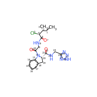 CC[C@@H](C)[C@H](Cl)C(=O)NCC(=O)N1c2ccccc2C[C@H]1C(=O)NCc1nn[nH]n1